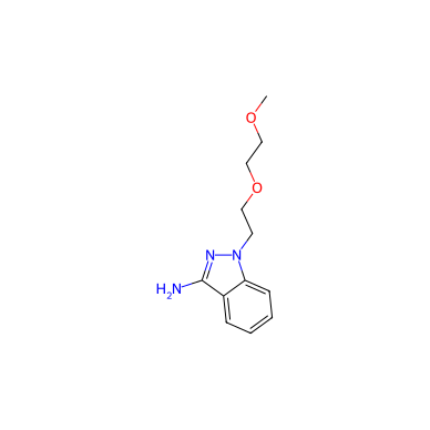 COCCOCCn1nc(N)c2ccccc21